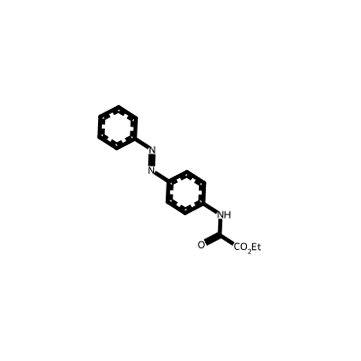 CCOC(=O)C(=O)Nc1ccc(N=Nc2ccccc2)cc1